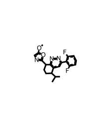 COc1cnc(C2CCC(C(C)C)c3cc(-c4c(F)cccc4F)nnc32)o1